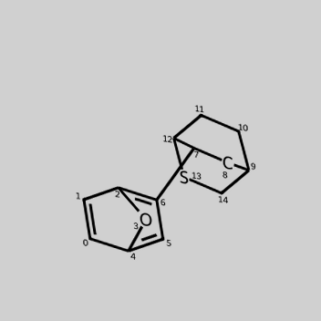 c1cc2oc1cc2C1CC2CCC1SC2